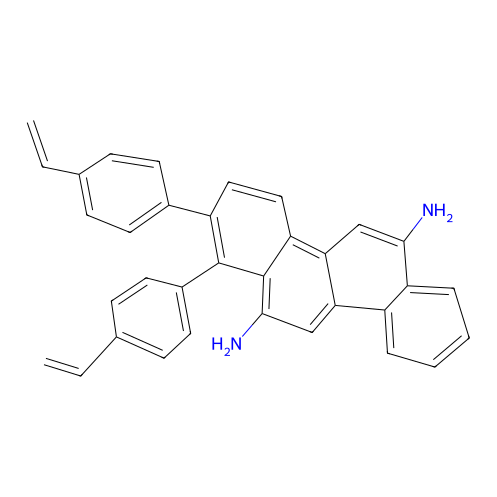 C=Cc1ccc(-c2ccc3c(c(N)cc4c5ccccc5c(N)cc34)c2-c2ccc(C=C)cc2)cc1